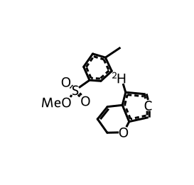 COS(=O)(=O)c1ccc(C)cc1.[2H]c1cccc2c1C=CCO2